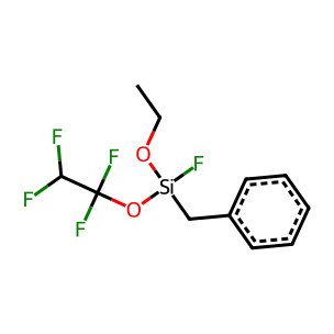 CCO[Si](F)(Cc1ccccc1)OC(F)(F)C(F)F